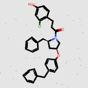 O=C(CCc1ccc(O)cc1Cl)N1C[C@@H](Oc2ccc(Cc3ccccc3)cc2)C[C@H]1Cc1ccccc1